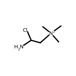 C[N+](C)(C)CC(N)Cl